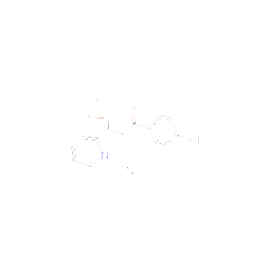 O=C(CC(c1ccccn1)S(=O)(=O)[O-])c1ccc(Cl)cc1.[Na+]